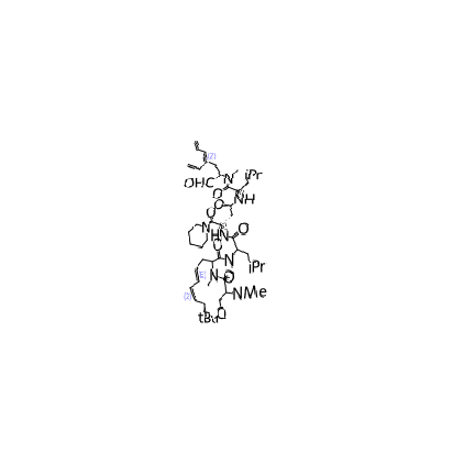 C=C/C=C\C=C\CC(C(=O)N(C)C(CC(C)C)C(=O)N[C@@H](CC(=O)N[C@H](CC(C)C)C(=O)N(C)C(C=O)C/C(C=C)=C/C=C)C(=O)N1CCCCC1)N(C)C(=O)C(COC(C)(C)C)NC